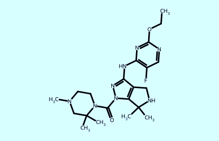 CCOc1ncc(F)c(Nc2nn(C(=O)N3CCN(C)CC3(C)C)c3c2CNC3(C)C)n1